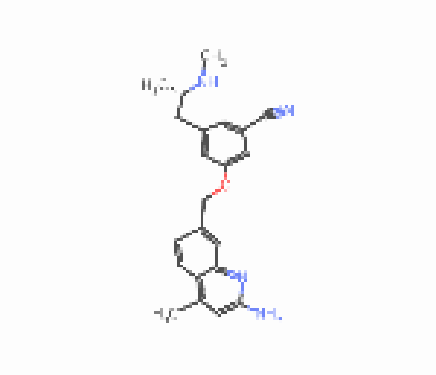 CN[C@@H](C)Cc1cc(C#N)cc(OCc2ccc3c(C)cc(N)nc3c2)c1